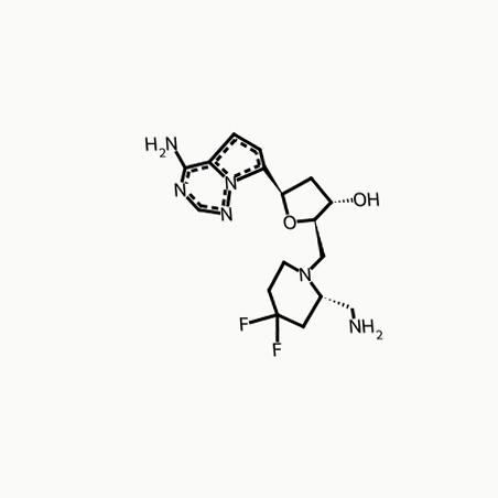 NC[C@@H]1CC(F)(F)CCN1C[C@H]1O[C@@H](c2ccc3c(N)ncnn23)C[C@@H]1O